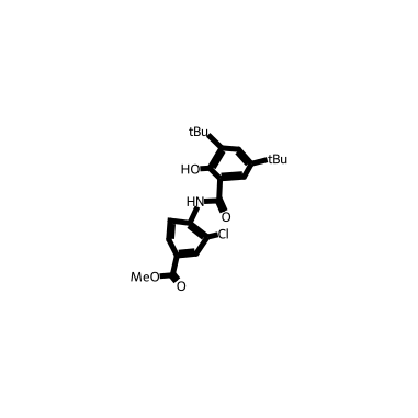 COC(=O)c1ccc(NC(=O)c2cc(C(C)(C)C)cc(C(C)(C)C)c2O)c(Cl)c1